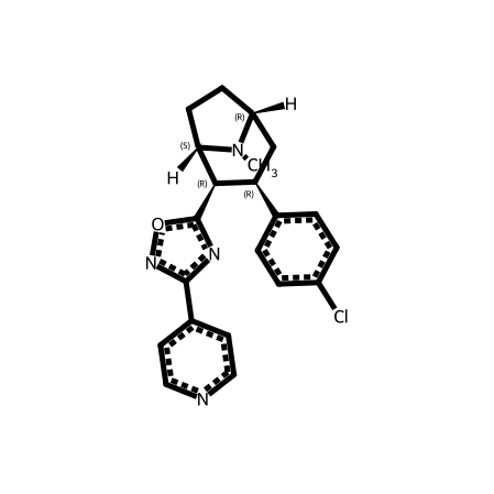 CN1[C@@H]2CC[C@H]1[C@H](c1nc(-c3ccncc3)no1)[C@H](c1ccc(Cl)cc1)C2